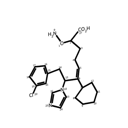 NOC(CCC=C(C1CCCCC1)C(Cc1cccc(Cl)c1)n1ccnc1)C(=O)O